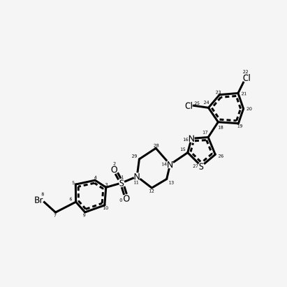 O=S(=O)(c1ccc(CBr)cc1)N1CCN(c2nc(-c3ccc(Cl)cc3Cl)cs2)CC1